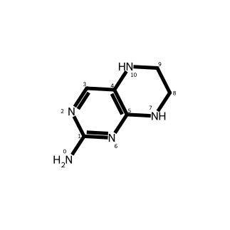 Nc1ncc2c(n1)NCCN2